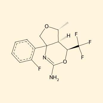 C[C@H]1OCC2(c3ccccc3F)N=C(N)O[C@H](C(F)(F)F)[C@H]12